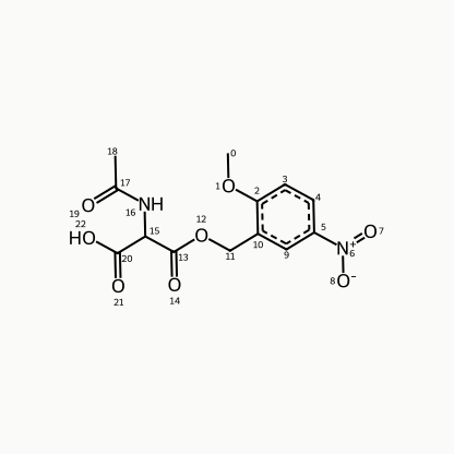 COc1ccc([N+](=O)[O-])cc1COC(=O)C(NC(C)=O)C(=O)O